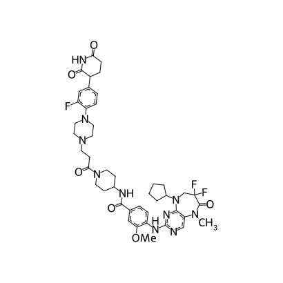 COc1cc(C(=O)NC2CCN(C(=O)CCN3CCN(c4ccc(C5CCC(=O)NC5=O)cc4F)CC3)CC2)ccc1Nc1ncc2c(n1)N(C1CCCC1)CC(F)(F)C(=O)N2C